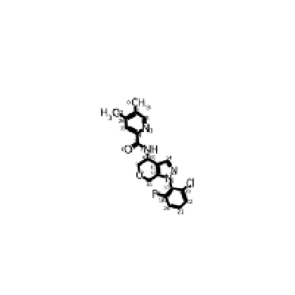 Cc1cnc(C(=O)N[C@@H]2COCc3c2cnn3-c2c(F)cccc2Cl)cc1C